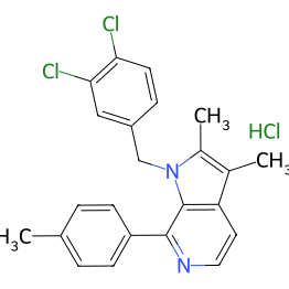 Cc1ccc(-c2nccc3c(C)c(C)n(Cc4ccc(Cl)c(Cl)c4)c23)cc1.Cl